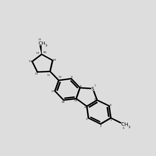 Cc1ccc2c(c1)sc1cc(C3CC[C@@H](C)C3)ccc12